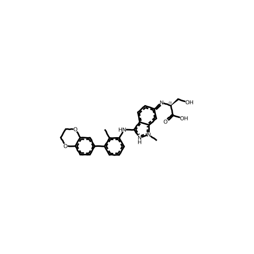 Cc1c(Nc2[nH]n(C)c3cc(=N[C@@H](CO)C(=O)O)ccc2-3)cccc1-c1ccc2c(c1)OCCO2